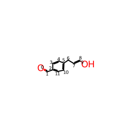 O=Cc1ccc(CC=CO)cc1